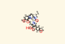 CCCCN(C(=O)CN1C[C@H](c2ccc3c(c2)CCO3)[C@@H](C(=O)O)[C@@H]1CCOc1ccccc1OC)c1cccnc1